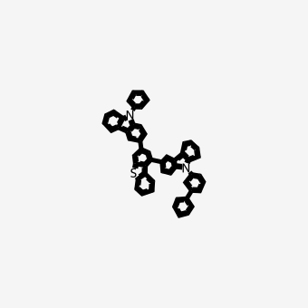 c1ccc(-c2cccc(-n3c4ccccc4c4cc(-c5cc(-c6ccc7c(c6)c6ccccc6n7-c6ccccc6)cc6sc7ccccc7c56)ccc43)c2)cc1